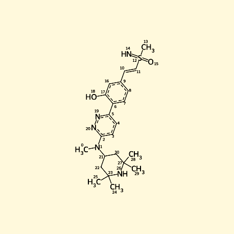 CN(c1ccc(-c2ccc(/C=C/S(C)(=N)=O)cc2O)nn1)C1CC(C)(C)NC(C)(C)C1